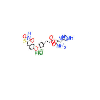 Cl.Cl.NC(=O)C(N)(COC(=O)CCc1ccc(Oc2ccc(C=C3SC(=O)NC3=O)cc2)cc1)Cc1c[nH]cn1